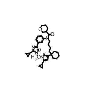 Cn1nc(C2(CCCCN(C(=O)C3CCCOC3)c3cccc(-c4nc(C5CC5)no4)c3)CCCCC2)cc1C1CC1